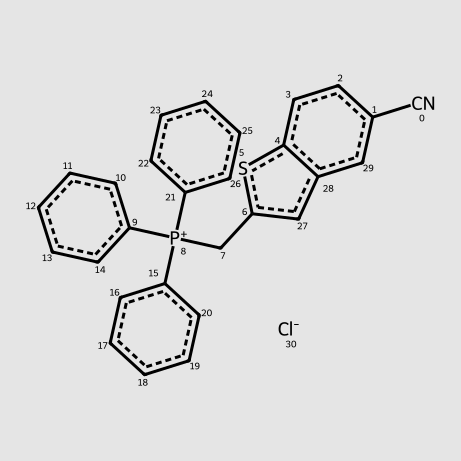 N#Cc1ccc2sc(C[P+](c3ccccc3)(c3ccccc3)c3ccccc3)cc2c1.[Cl-]